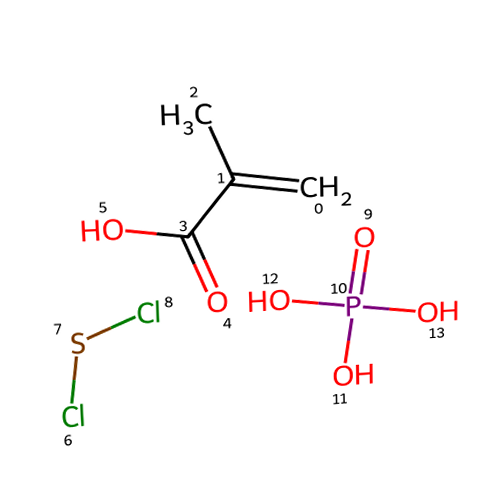 C=C(C)C(=O)O.ClSCl.O=P(O)(O)O